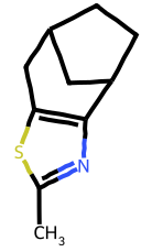 Cc1nc2c(s1)CC1CCC2C1